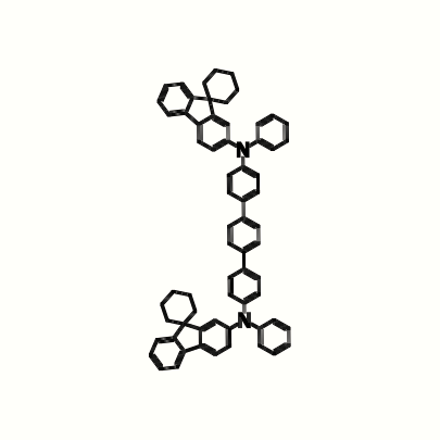 c1ccc(N(c2ccc(-c3ccc(-c4ccc(N(c5ccccc5)c5ccc6c(c5)C5(CCCCC5)c5ccccc5-6)cc4)cc3)cc2)c2ccc3c(c2)C2(CCCCC2)c2ccccc2-3)cc1